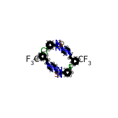 FC(F)(F)c1cccc(CCN2CCN(c3nc(-c4cccc(Cl)c4)ns3)CC2)c1.Fc1cccc(-c2nsc(N3CCN(CCc4cccc(C(F)(F)F)c4)CC3)n2)c1